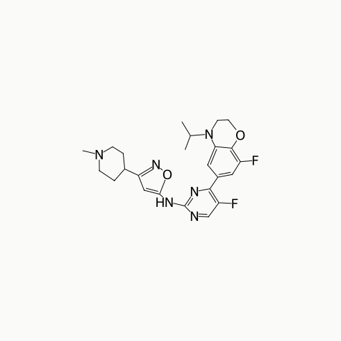 CC(C)N1CCOc2c(F)cc(-c3nc(Nc4cc(C5CCN(C)CC5)no4)ncc3F)cc21